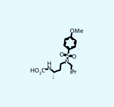 COc1ccc(S(=O)(=O)N(CC[C@H](C)NC(=O)O)CC(C)C)cc1